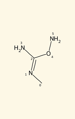 CN=C(N)ON